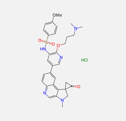 COc1ccc(S(=O)(=O)Nc2cc(-c3ccc4ncc5c(c4c3)C3(CC3=O)CN5C)cnc2OCCCN(C)C)cc1.Cl